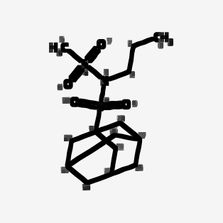 CCCN(S(C)(=O)=O)S(=O)(=O)C12CC3CC(CC(C3)C1)C2